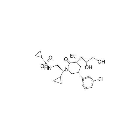 CC[C@]1(CC(O)CO)C[C@H](c2cccc(Cl)c2)CN([C@H](CNS(=O)(=O)C2CC2)C2CC2)C1=O